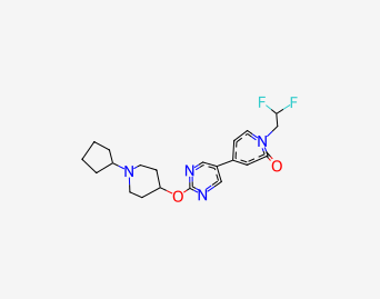 O=c1cc(-c2cnc(OC3CCN(C4CCCC4)CC3)nc2)ccn1CC(F)F